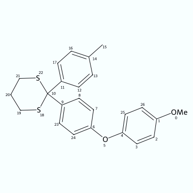 COc1ccc(Oc2ccc(C3(c4ccc(C)cc4)SCCCS3)cc2)cc1